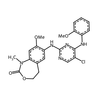 COc1cc2c(cc1Nc1ncc(Cl)c(Nc3ccccc3OC)n1)CCOC(=O)N2C